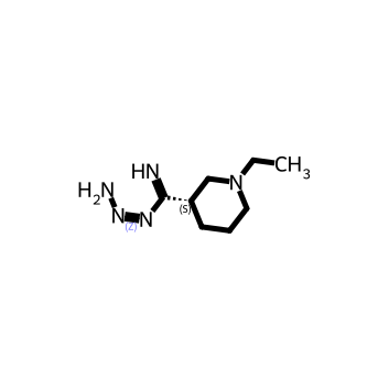 CCN1CCC[C@H](C(=N)/N=N\N)C1